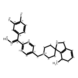 CC1CC=CC2=C1C1(CCN(Cc3cnc(/C(=N/O)c4ccc(F)c(F)c4)nc3)CC1)OC2